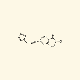 O=c1ccc2cc(C#CCn3ccnc3)ccc2[nH]1